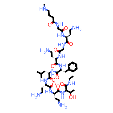 CCNC(=O)C(NC(=O)[C@H](CCN)NC(=O)[C@H](CCN)NC(=O)[C@H](CC(C)C)NC(=O)[C@@H](Cc1ccccc1)NC(=O)[C@H](CCN)NC(=O)CNC(=O)[C@H](CCN)NC(=O)CNC(=O)CCCNC)C(C)O